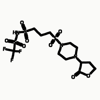 O=C1OCCC1N1CCN(S(=O)(=O)CCCS(=O)(=O)NS(=O)(=O)C(F)(F)F)CC1